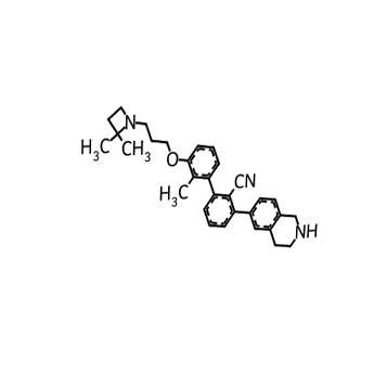 Cc1c(OCCCN2CCC2(C)C)cccc1-c1cccc(-c2ccc3c(c2)CCNC3)c1C#N